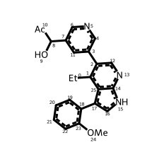 CCc1c(-c2cncc(C(O)C(C)=O)c2)cnc2[nH]cc(-c3ccccc3OC)c12